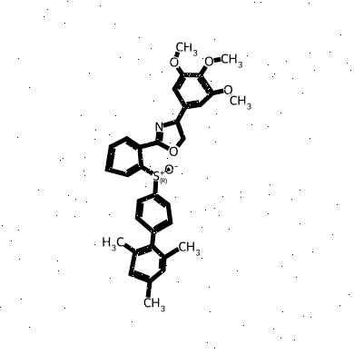 COc1cc(C2COC(c3ccccc3[S@@+]([O-])c3ccc(-c4c(C)cc(C)cc4C)cc3)=N2)cc(OC)c1OC